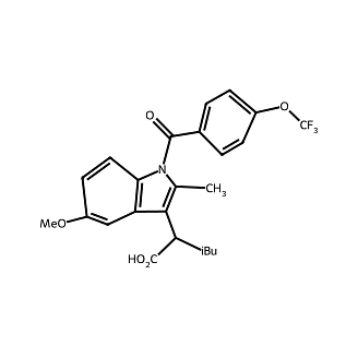 CCC(C)C(C(=O)O)c1c(C)n(C(=O)c2ccc(OC(F)(F)F)cc2)c2ccc(OC)cc12